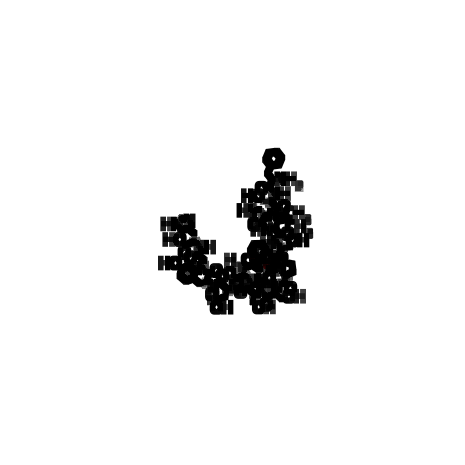 CC(C)C[C@H](NC(=O)[C@H](CS)NC(=O)[C@H](CO)NC(=O)[C@@H](N)Cc1ccccc1)C(=O)N[C@@H](CO)C(=O)N[C@@H](CC(C)C)C(=O)N1CCC[C@H]1C(=O)N[C@@H](CO)C(=O)N[C@@H](CO)C(=O)N[C@@H](Cc1c[nH]c2ccccc12)C(=O)N[C@@H](CC(=O)O)C(=O)N[C@@H](Cc1ccc(O)cc1)C(=O)NCC(=O)N[C@@H](Cc1c[nH]cn1)C(=O)O